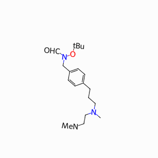 CNCCN(C)CCCc1ccc(CN(C=O)OC(C)(C)C)cc1